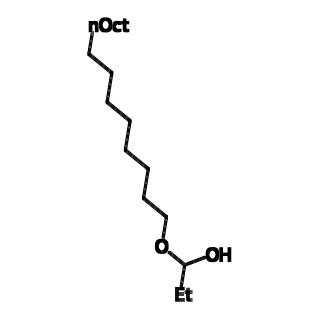 [CH2]CC(O)OCCCCCCCCCCCCCCCC